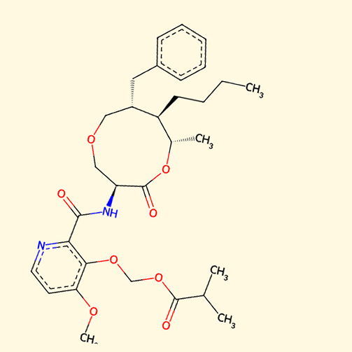 CCCC[C@@H]1[C@@H](Cc2ccccc2)COC[C@H](NC(=O)c2nccc(OC)c2OCOC(=O)C(C)C)C(=O)O[C@H]1C